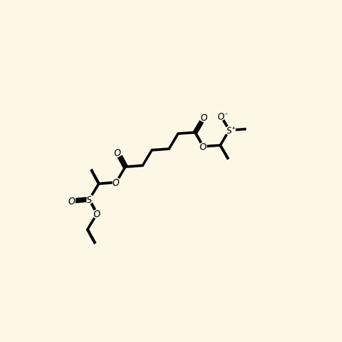 CCOS(=O)C(C)OC(=O)CCCCC(=O)OC(C)[S+](C)[O-]